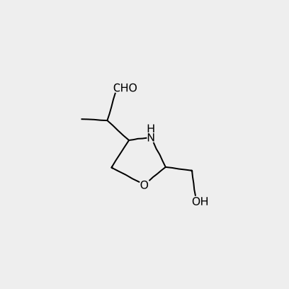 CC(C=O)C1COC(CO)N1